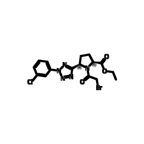 CCOC(=O)[C@@H]1CC[C@H](c2nnn(-c3cccc(Cl)c3)n2)N1C(=O)CBr